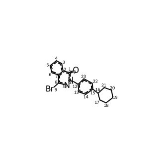 O=c1c2ccccc2c(Br)nn1-c1ccc(C2CCCCC2)cc1